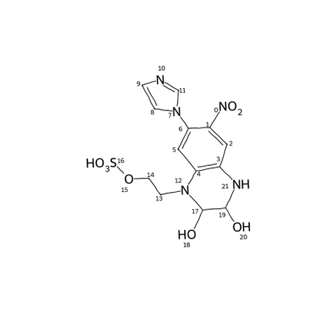 O=[N+]([O-])c1cc2c(cc1-n1ccnc1)N(CCOS(=O)(=O)O)C(O)C(O)N2